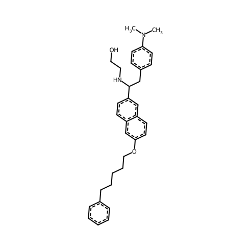 CN(C)c1ccc(CC(NCCO)c2ccc3cc(OCCCCCc4ccccc4)ccc3c2)cc1